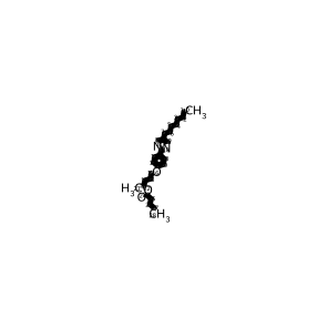 CCCCCCCCc1cnc(-c2ccc(OCCCC(C)OC(=O)CCCC)cc2)nc1